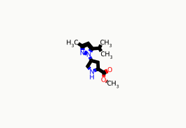 COC(=O)C1CC(n2nc(C)cc2C(C)C)CN1